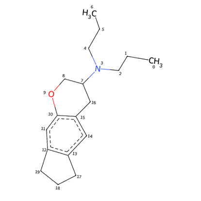 CCCN(CCC)C1COc2cc3c(cc2C1)CCC3